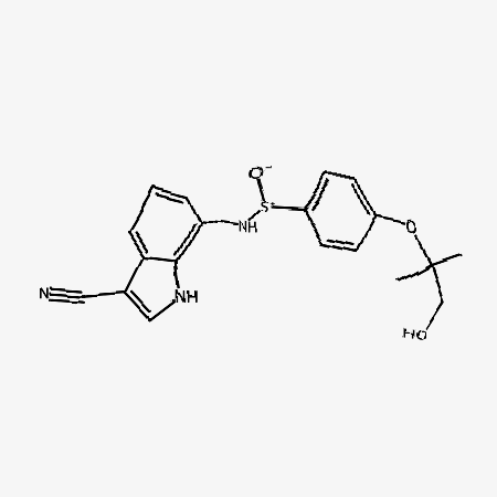 CC(C)(CO)Oc1ccc([S+]([O-])Nc2cccc3c(C#N)c[nH]c23)cc1